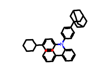 c1ccc(-c2ccccc2N(c2ccc(C3CCCCC3)cc2)c2ccc(C34CC5CC(CC(C5)C3)C4)cc2)cc1